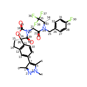 Cc1nn(C)c(C)c1-c1ccc2c(c1)CC[C@@]21OC(=O)N(CC(=O)N(Cc2ccc(F)cc2)[C@@H](C)C(F)(F)F)C1=O